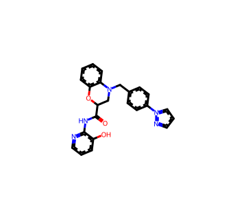 O=C(Nc1ncccc1O)C1CN(Cc2ccc(-n3cccn3)cc2)c2ccccc2O1